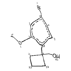 COc1cc(Br)ccc1C1(O)CCC1